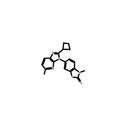 Cc1ccc2nc(C3CCC3)n(-c3ccc4c(c3)sc(=O)n4C)c2n1